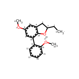 [CH2]CC1Cc2cc(OC)cc(-c3ccccc3OC)c2O1